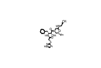 C#CCNC(=O)CN(CSC(C)C)C(=O)[C@@H](O)[C@H](Cc1ccccc1)NC(=O)CSc1nc[nH]n1